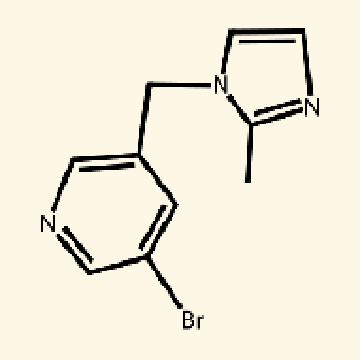 Cc1nccn1Cc1cncc(Br)c1